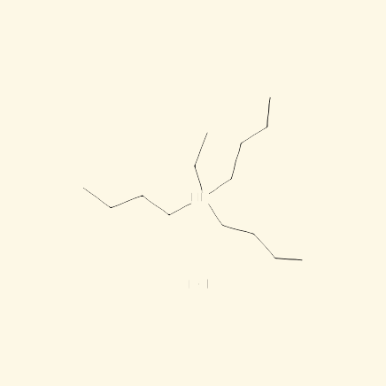 CCCC[PH](CC)(CCCC)CCCC.Cl